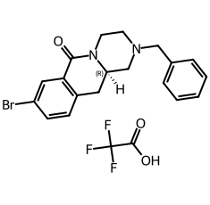 O=C(O)C(F)(F)F.O=C1c2cc(Br)ccc2C[C@@H]2CN(Cc3ccccc3)CCN12